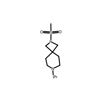 CC(C)N1CCC2(CC1)CN(S(C)(=O)=O)C2